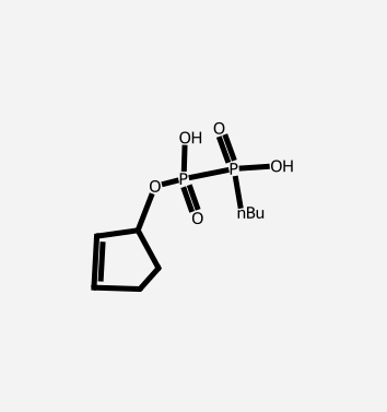 CCCCP(=O)(O)P(=O)(O)OC1C=CCC1